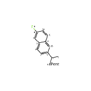 [CH2]CCCCC(C)c1ccc2cc(F)ccc2c1